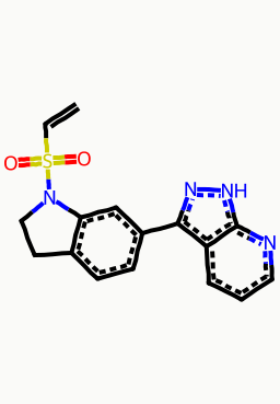 C=CS(=O)(=O)N1CCc2ccc(-c3n[nH]c4ncccc34)cc21